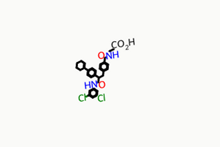 O=C(O)CCNC(=O)c1ccc(CC(C(=O)Nc2cc(Cl)cc(Cl)c2)c2ccc(C3=CCCCC3)cc2)cc1